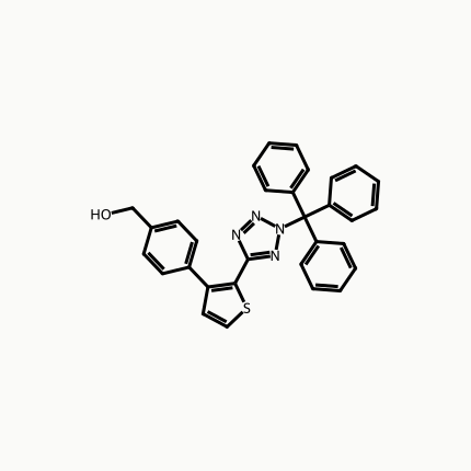 OCc1ccc(-c2ccsc2-c2nnn(C(c3ccccc3)(c3ccccc3)c3ccccc3)n2)cc1